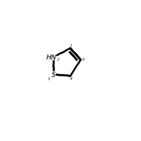 C1=CNSC1